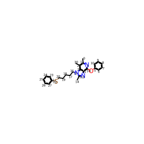 Cc1nc(Oc2ccccc2)c2nc(C)n(CCCCCSc3ccccc3)c2c1C